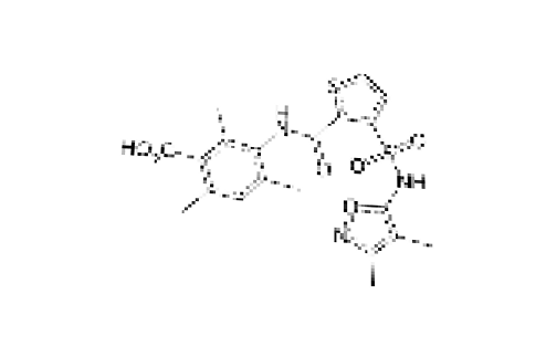 Cc1cc(C)c(C(=O)O)c(C)c1NC(=O)c1sccc1S(=O)(=O)Nc1onc(C)c1C